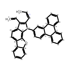 C=Cc1c(/C=C\C)n(-c2ccc3c4ccccc4c4ccccc4c3c2)c2c1ccc1c3ccccc3oc12